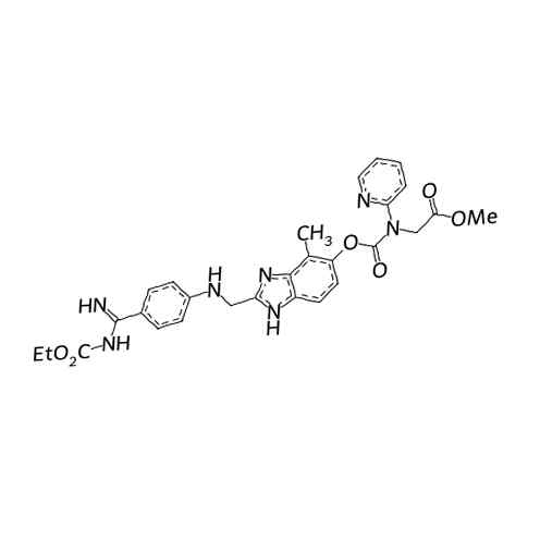 CCOC(=O)NC(=N)c1ccc(NCc2nc3c(C)c(OC(=O)N(CC(=O)OC)c4ccccn4)ccc3[nH]2)cc1